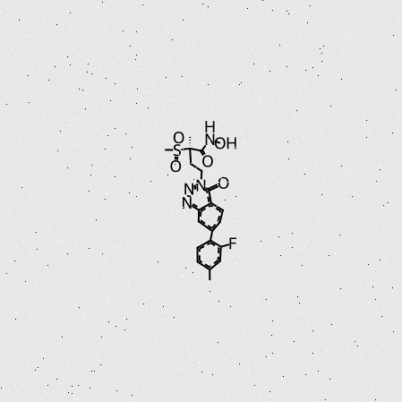 Cc1ccc(-c2ccc3c(=O)n(CC[C@](C)(C(=O)NO)S(C)(=O)=O)nnc3c2)c(F)c1